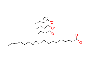 CCCCCCCCCCCCCCCCCC(=O)[O-].CCCC[O-].CCCC[O-].CCCC[O-].[V+4]